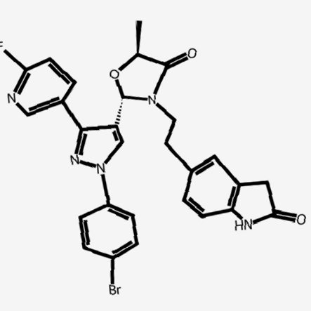 C[C@@H]1O[C@@H](c2cn(-c3ccc(Br)cc3)nc2-c2ccc(F)nc2)N(CCc2ccc3c(c2)CC(=O)N3)C1=O